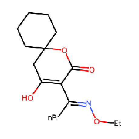 CCCC(=NOCC)C1=C(O)CC2(CCCCC2)OC1=O